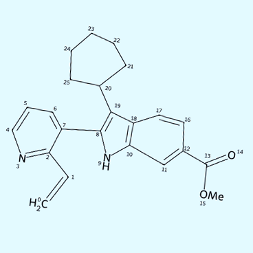 C=Cc1ncccc1-c1[nH]c2cc(C(=O)OC)ccc2c1C1CCCCC1